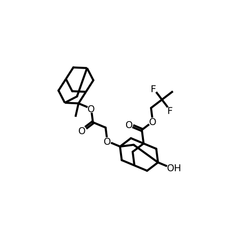 CC(F)(F)COC(=O)C12CC3CC(O)(CC(OCC(=O)OC4(C)C5CC6CC(C5)CC4C6)(C3)C1)C2